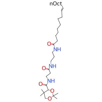 CCCCCCCCC=CCCCCCCCC(=O)NCCCNC(=O)CCNC(=O)C1OC(C)(C)OCC1(C)C